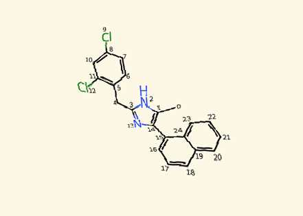 Cc1[nH]c(Cc2ccc(Cl)cc2Cl)nc1-c1cccc2ccccc12